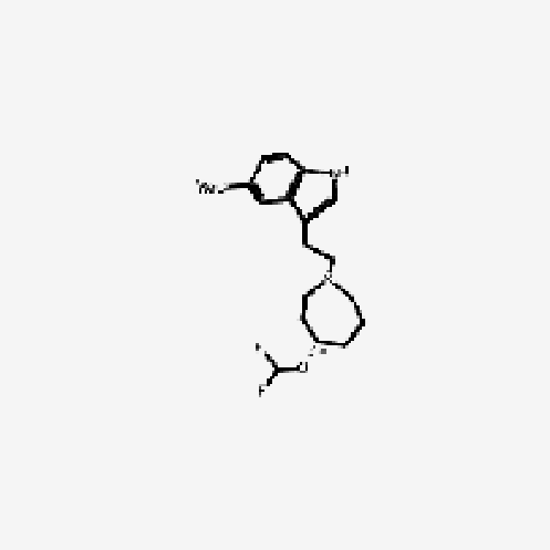 COc1ccc2[nH]cc(CCN3CCC[C@H](OC(F)F)CC3)c2c1